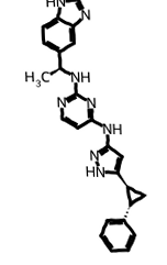 C[C@H](Nc1nccc(Nc2cc([C@H]3C[C@@H]3c3ccccc3)[nH]n2)n1)c1ccc2[nH]cnc2c1